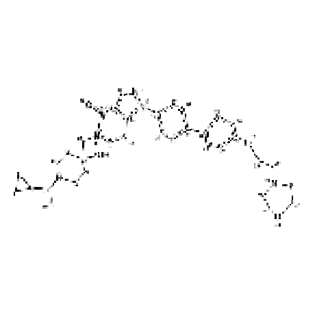 O=C(C1CC1)N1CCC(O)(Cn2cnc3c(cnn3-c3ccc(-c4ccc(OCCN5CCOCC5)cc4)cc3)c2=O)CC1